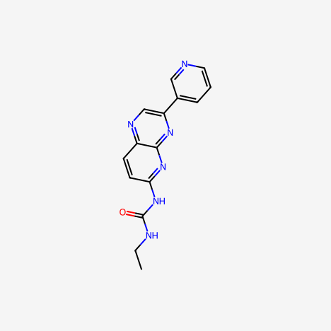 CCNC(=O)Nc1ccc2ncc(-c3cccnc3)nc2n1